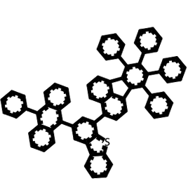 c1ccc(-c2c(-c3ccccc3)c(-c3ccccc3)c3c(c2-c2ccccc2)-c2cccc4c(-c5cc(-c6c7ccccc7c(-c7ccccc7)c7ccccc67)cc6c5sc5ccccc56)ccc-3c24)cc1